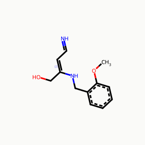 COc1ccccc1CN/C(=C\C=N)CO